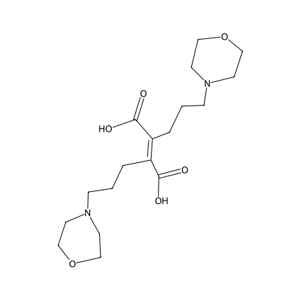 O=C(O)C(CCCN1CCOCC1)=C(CCCN1CCOCC1)C(=O)O